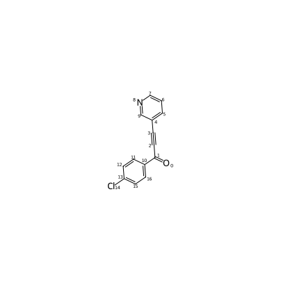 O=C(C#Cc1cccnc1)c1ccc(Cl)cc1